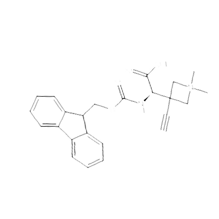 C#CC1([C@@H](NC(=O)OCC2c3ccccc3-c3ccccc32)C(=O)O)C[N+](C)(C)C1